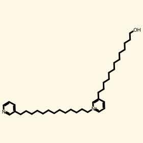 OCCCCCCCCCCCCCc1ccc[n+](CCCCCCCCCCCCCc2cccnc2)c1